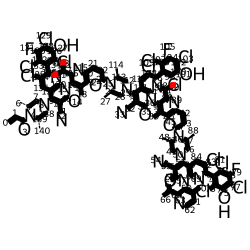 C=CC(=O)N1[C@H](C)CN(c2c(C#N)c(=O)n(-c3c(C)cc(/C=C\C(=O)N4[C@H](C)CN(c5c(C#N)c(=O)n(-c6c(C)cc(/C=C\C(=O)N7[C@H](C)CN(c8c(C#N)c(=O)n(-c9c(C)ccnc9C(C)C)c9nc(-c%10c(Cl)c(O)c(Cl)c(F)c%10Cl)c(Cl)cc89)C[C@@H]7C)nc6C(C)C)c6nc(-c7c(Cl)c(O)c(Cl)c(F)c7Cl)c(Cl)cc56)C[C@@H]4C)nc3C(C)C)c3nc(-c4c(Cl)c(O)c(Cl)c(F)c4Cl)c(Cl)cc23)C[C@@H]1C